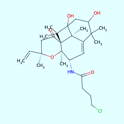 C=C[C@@]1(C)CC(=O)[C@@]23C(C)(C)C4(O)CC(O)C(C)(C)C(=C[C@H](NC(=O)CCCCl)[C@@]2(C)O1)[C@]43C